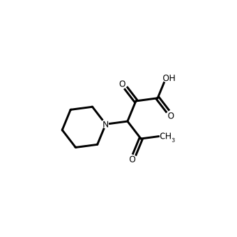 CC(=O)C(C(=O)C(=O)O)N1CCCCC1